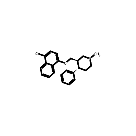 CN1CC[C@H](c2ccccc2)[C@@H](COc2ccc(Cl)c3ccccc23)C1